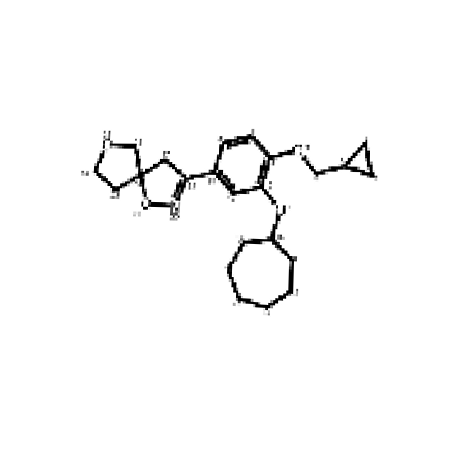 c1cc(OCC2CC2)c(OC2CCCCCC2)cc1C1=NOC2(CCOC2)C1